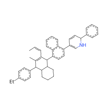 C/C=C\C1=C(C)C(c2ccc(CC)cc2)C2CCCCC2C1c1ccc(C2=CNC(c3ccccc3)C=C2)c2ccccc12